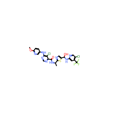 COc1ccc(Nc2ncnc(C(=O)NC(C)c3ncc(C(O)Nc4cc(C(F)(F)F)c(Cl)cn4)s3)c2Cl)cn1